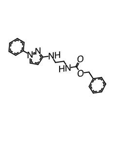 O=C(NCCNc1ccn(-c2ccccc2)n1)OCc1ccccc1